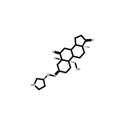 C[C@]12CCC3C(CC(=O)[C@H]4C/C(=N\O[C@H]5CCNC5)CC[C@]34CO)C1CCC2=O